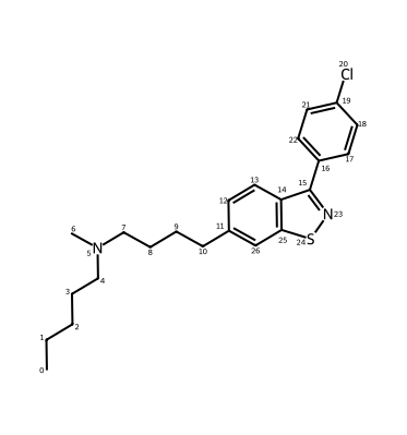 CCCCCN(C)CCCCc1ccc2c(-c3ccc(Cl)cc3)nsc2c1